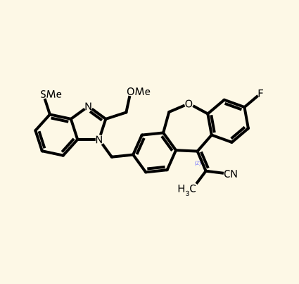 COCc1nc2c(SC)cccc2n1Cc1ccc2c(c1)COc1cc(F)ccc1/C2=C(/C)C#N